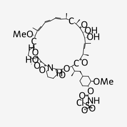 CO[C@H]1C[C@@H]2CC[C@@H](C)[C@@](O)(O2)C(=O)C(=O)N2CCCC[C@H]2C(=O)O[C@H]([C@H](C)C[C@@H]2CC[C@@H](OC(=O)NS(=O)(=O)Cl)[C@H](OC)C2)CC(=O)[C@H](C)/C=C(\C)[C@@H](O)[C@@H](O)C(=O)[C@H](C)C[C@H](C)/C=C/C=C/C=C/1C